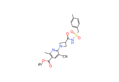 Cc1ccc(CS(=O)(=O)NC(=O)C2CN(c3nc(C)c(C(=O)OC(C)C)cc3C#N)C2)cc1